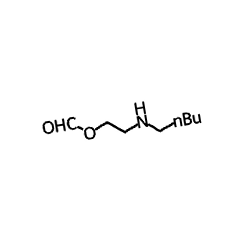 CCCCCNCCOC=O